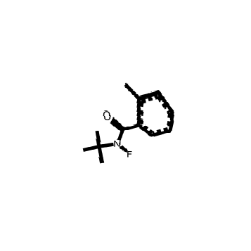 Cc1ccccc1C(=O)N(F)C(C)(C)C